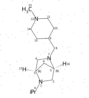 CC(C)N1C[C@H]2C[C@@H]1CN2CC1CCN(C)CC1